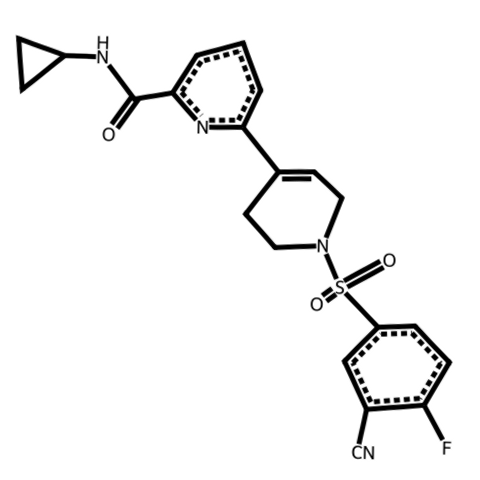 N#Cc1cc(S(=O)(=O)N2CC=C(c3cccc(C(=O)NC4CC4)n3)CC2)ccc1F